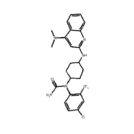 CN(C)c1cc(NC2CCC(N(C(N)=O)c3ccc(Cl)cc3C(F)(F)F)CC2)nc2ccccc12